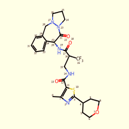 Cc1nc(C2CCOCC2)sc1C(=O)NCC(C(=O)N[C@@H]1C(=O)N2CCCN2Cc2ccccc21)C(F)(F)F